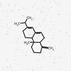 C=C1CCCC2(C)C1CC=C1C=C(C(C)C)CCC12